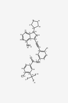 Cc1ccc(NC(=O)c2ccc(Cl)c(C(F)(F)F)c2)cc1C#Cc1nn(C2CCCC2)c2ncnc(N)c12